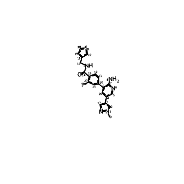 Cn1cc(-c2cnc(N)c(-c3ccc(C(=O)NCc4ccsc4)c(F)c3)c2)cn1